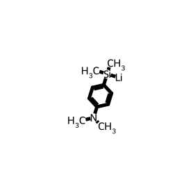 [Li][Si](C)(C)c1ccc(N(C)C)cc1